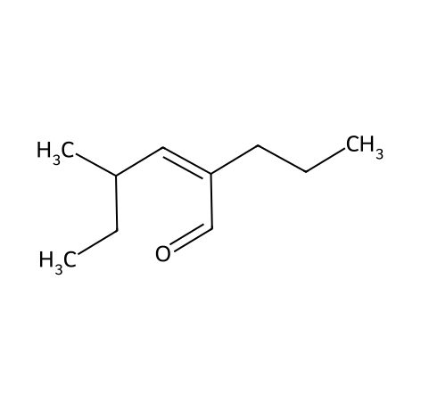 CCCC(C=O)=CC(C)CC